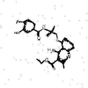 CCOC(=O)c1c(C)nc2cccc(OCC(C)(C)NC(=O)c3ccc(F)c(O)c3)c2c1N